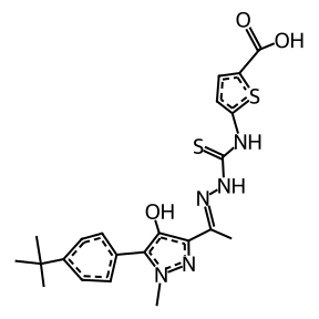 CC(=NNC(=S)Nc1ccc(C(=O)O)s1)c1nn(C)c(-c2ccc(C(C)(C)C)cc2)c1O